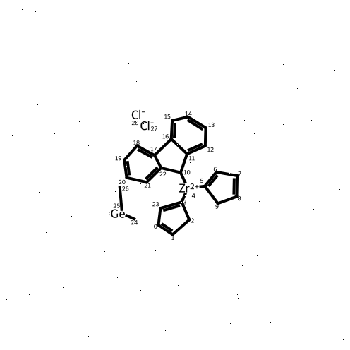 C1=CC[C]([Zr+2]([C]2=CC=CC2)[CH]2c3ccccc3-c3ccccc32)=C1.[CH3][Ge][CH3].[Cl-].[Cl-]